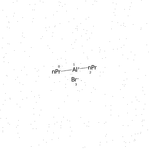 CC[CH2][Al+][CH2]CC.[Br-]